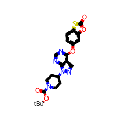 CC(C)(C)OC(=O)N1CCC(n2ncc3c(Oc4ccc5sc(=O)oc5c4)ncnc32)CC1